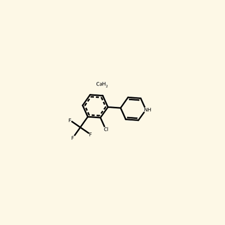 FC(F)(F)c1cccc(C2C=CNC=C2)c1Cl.[CaH2]